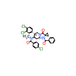 CN(C(=O)c1ccc(Cl)cc1)[C@@H]1CCN(C(=O)C2(NC(=O)c3ccccc3)CC2)C[C@H]1c1ccc(Cl)c(Cl)c1